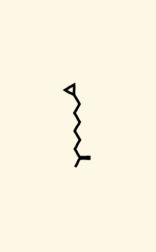 C=C(C)CCCCCCC1CC1